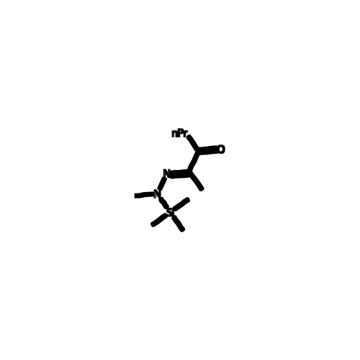 CCCC(=O)C(C)=NN(C)[Si](C)(C)C